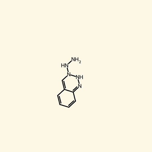 NNN1C=c2ccccc2=NN1